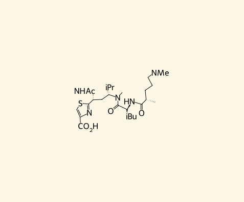 CC[C@H](C)[C@H](NC(=O)[C@@H](C)CCCNC)C(=O)N(C)[C@H](C[C@@H](NC(C)=O)c1nc(C(=O)O)cs1)C(C)C